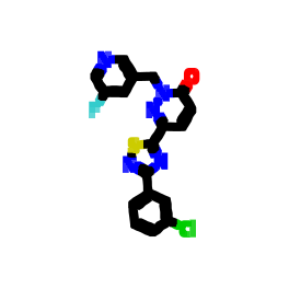 O=c1ccc(-c2nc(-c3cccc(Cl)c3)ns2)nn1Cc1cncc(F)c1